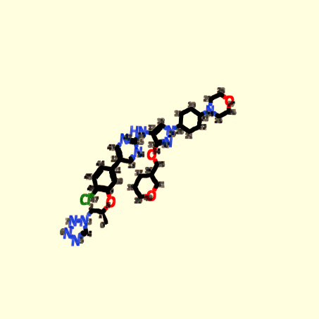 C[C@@H](Cn1cnnn1)Oc1cc(-c2cnc(Nc3cn(C4CCC(N5CCOCC5)CC4)nc3OCC3CCCOC3)nc2)ccc1Cl